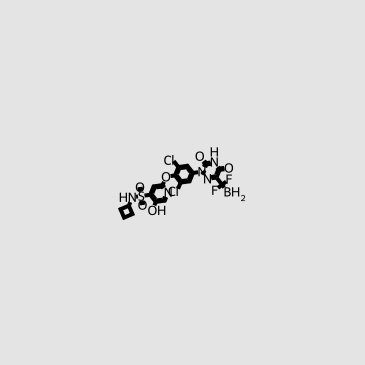 BC(F)(F)c1nn(-c2cc(Cl)c(Oc3cc(S(=O)(=O)NC4CCC4)c(O)cn3)c(Cl)c2)c(=O)[nH]c1=O